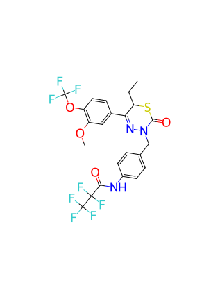 CCC1SC(=O)N(Cc2ccc(NC(=O)C(F)(F)C(F)(F)F)cc2)N=C1c1ccc(OC(F)(F)F)c(OC)c1